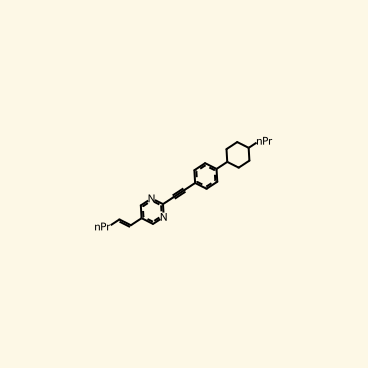 CCCC=Cc1cnc(C#Cc2ccc(C3CCC(CCC)CC3)cc2)nc1